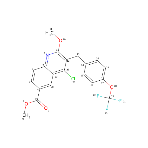 COC(=O)c1ccc2nc(OC)c(Cc3ccc(OC(F)(F)F)cc3)c(Cl)c2c1